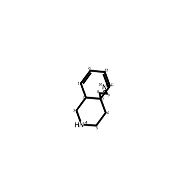 C1=CC2CNCCC23CC=NC3=C1